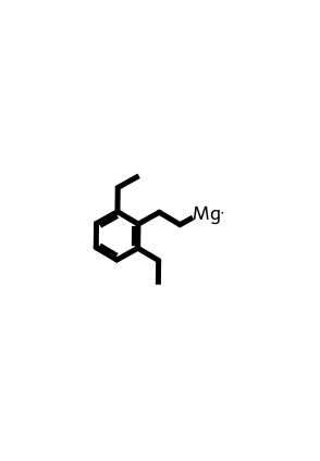 CCc1cccc(CC)c1C[CH2][Mg]